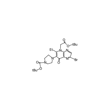 CCc1c(N2CCN(C(=O)OC(C)(C)C)CC2)c(=O)c2nc(Br)cnc2n1CC(=O)OC(C)(C)C